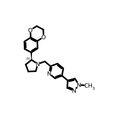 Cn1cc(-c2ccc(CN3CCC[C@H]3c3ccc4c(c3)OCCO4)nc2)cn1